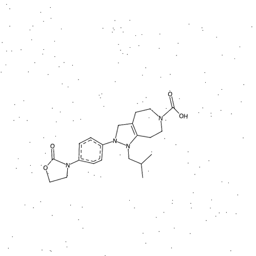 CC(C)CN1C2=C(CCN(C(=O)O)CC2)CN1c1ccc(N2CCOC2=O)cc1